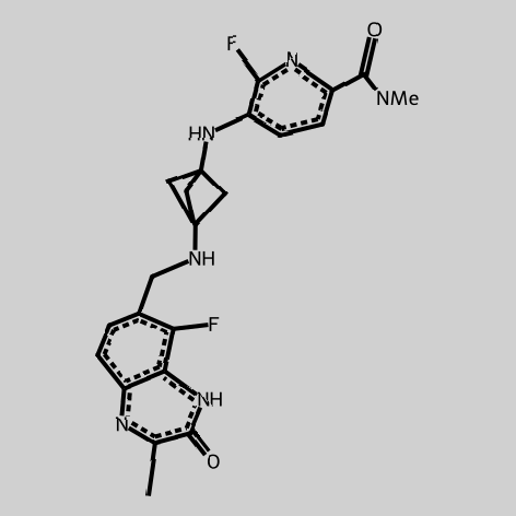 CNC(=O)c1ccc(NC23CC(NCc4ccc5nc(C)c(=O)[nH]c5c4F)(C2)C3)c(F)n1